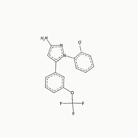 Nc1cc(-c2cccc(OC(F)(F)F)c2)n(-c2ccccc2Cl)n1